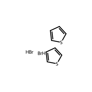 Br.Br.c1ccsc1.c1ccsc1